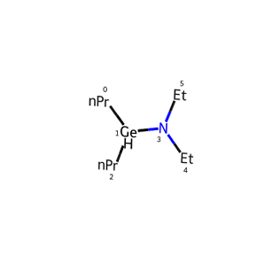 CC[CH2][GeH]([CH2]CC)[N](CC)CC